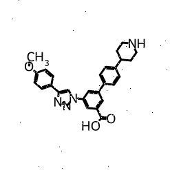 COc1ccc(-c2cn(-c3cc(C(=O)O)cc(-c4ccc(C5CCNCC5)cc4)c3)nn2)cc1